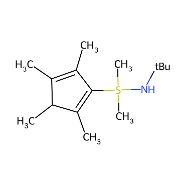 CC1=C(C)C(C)C(C)=C1S(C)(C)NC(C)(C)C